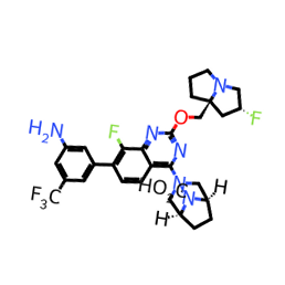 Nc1cc(-c2ccc3c(N4C[C@H]5CC[C@@H](C4)N5C(=O)O)nc(OC[C@@]45CCCN4C[C@H](F)C5)nc3c2F)cc(C(F)(F)F)c1